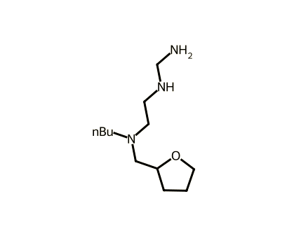 CCCCN(CCNCN)CC1CCCO1